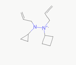 C=CCN(C1CC1)[N+](CC=C)C1CCC1